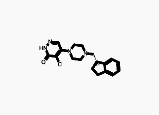 O=c1[nH]ncc(N2CCN(C[C@H]3CCc4ccccc43)CC2)c1Cl